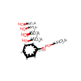 O=S(=O)(O)O.O=S(=O)(O)O.O=S(=O)(O)O.O=S(=O)(O)O.O=S(=O)(O)O.Oc1ccccc1